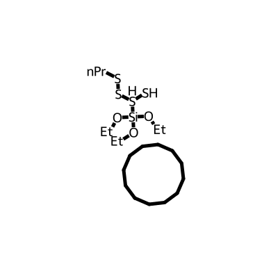 C1CCCCCCCCCCC1.CCCSS[SH](S)[Si](OCC)(OCC)OCC